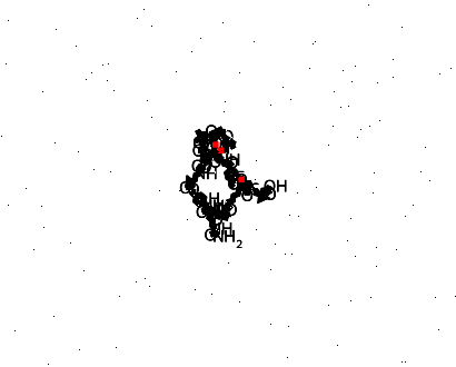 CC[C@H](C)C([C@@H](CC(=O)N1C[C@@H](OC(=O)NCCN(C)C(=O)OCc2ccc(NC(=O)C(CCCNC(N)=O)NC(=O)[C@@H](NC(=O)CCCCCN3C(=O)CC(SCC4(CC(=O)O)CC4)C3=O)C(C)C)cc2)C[C@H]1[C@H](OC)[C@@H](C)C(=O)NCC(=O)c1ccc(OC)c(F)c1)OC)N(C)C(=O)[C@@H](NC(=O)[C@H](C(C)C)N(C)C)C(C)C